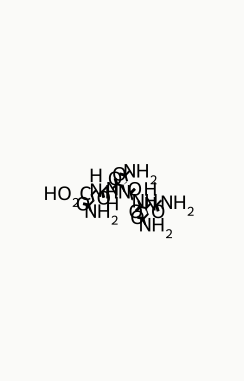 NCC(=O)N[C@@H](CC(N)=O)C(=O)NCC(=O)N[C@@H](CC(N)=O)C(=O)NCC(=O)N[C@@H](CC(N)=O)C(=O)O